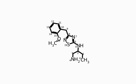 CCC(CN)Nc1nc(Cc2ccccc2OC)ns1